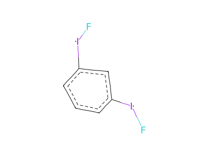 F[I]c1cccc([I]F)c1